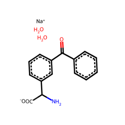 NC(C(=O)[O-])c1cccc(C(=O)c2ccccc2)c1.O.O.[Na+]